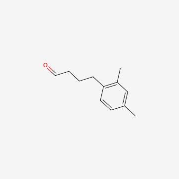 Cc1ccc(CCCC=O)c(C)c1